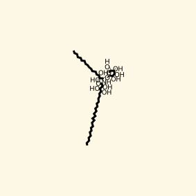 CCCCCCCCCCCCCCCCCCCCCC[C@@H](O)[C@@H](O)[C@@H](O)C(=O)N[C@@H](CO[C@H]1O[C@H](CO)[C@H](O)[C@H](O)[C@H]1O)[C@H](O)[C@H](O)CCCCCCCCCCCCCC